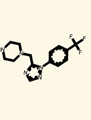 FC(F)(F)c1ccc(-n2ncnc2CN2CCNCC2)cc1